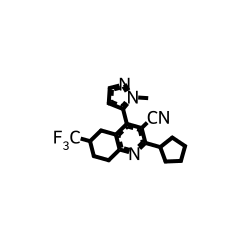 Cn1nccc1-c1c(C#N)c(C2CCCC2)nc2c1CC(C(F)(F)F)CC2